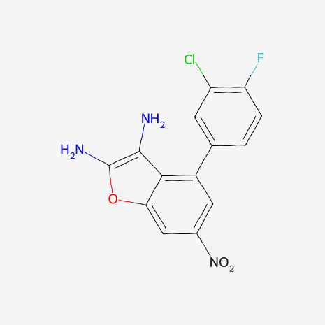 Nc1oc2cc([N+](=O)[O-])cc(-c3ccc(F)c(Cl)c3)c2c1N